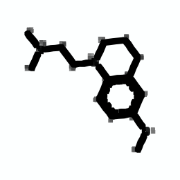 COc1ccc2c(c1)CCCN2CCN(C)C